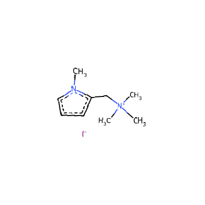 Cn1cccc1C[N+](C)(C)C.[I-]